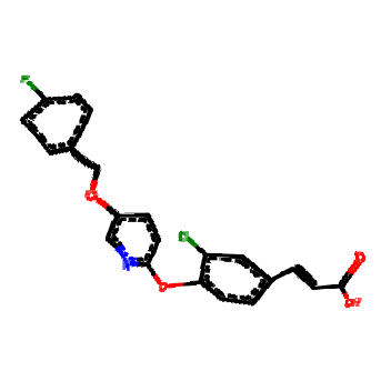 O=C(O)/C=C/c1ccc(Oc2ccc(OCc3ccc(F)cc3)cn2)c(Cl)c1